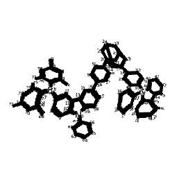 Cc1cc(C)c(B(c2ccc3c(c2)c2cc(-c4ccc(C56CC7CC(C5)CC(c5ccc([Si]8(c9ccccc9)c9ccccc9-c9ccccc98)cc5)(C7)C6)cc4)ccc2n3-c2ccccc2)c2c(C)cc(C)cc2C)c(C)c1